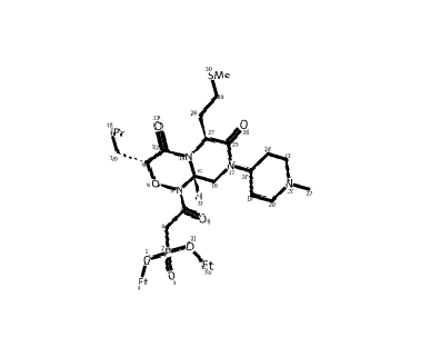 CCOP(=O)(CC(=O)N1O[C@H](CC(C)C)C(=O)N2[C@@H]1CN(C1CCN(C)CC1)C(=O)[C@@H]2CCSC)OCC